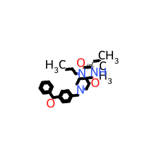 CCCCN1C(=O)[C@H](CC(C)C)NC(=O)C12CCN(Cc1ccc(C(=O)c3ccccc3)cc1)CC2